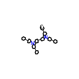 c1ccc(-c2ccc(-n3c4ccc(-c5ccccc5)cc4c4cc(-c5ccc6c(c5)c5cc(-c7ccccc7)ccc5n6-c5ccc(-c6ccccc6)cc5)ccc43)cc2)cc1